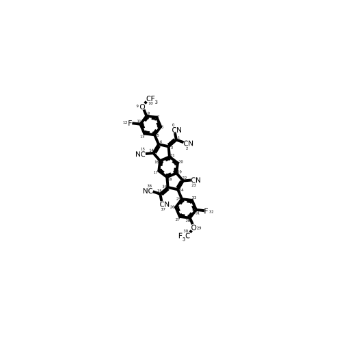 N#CC(C#N)=C1C(c2ccc(OC(F)(F)F)c(F)c2)=C(C#N)c2cc3c(cc21)C(C#N)=C(c1ccc(OC(F)(F)F)c(F)c1)C3=C(C#N)C#N